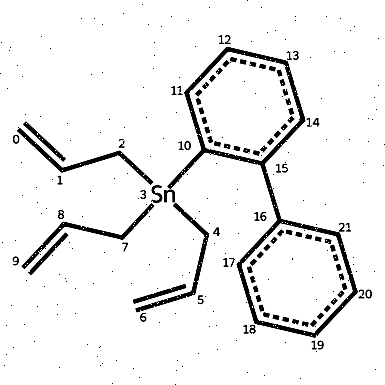 C=C[CH2][Sn]([CH2]C=C)([CH2]C=C)[c]1ccccc1-c1ccccc1